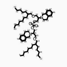 CCCCCCCC(CCCCC)COCC(COS(=O)(=O)OCC(COCC(CCCCC)CCCCCCC)N1CCc2ccccc2C1)N1CCc2ccccc2C1